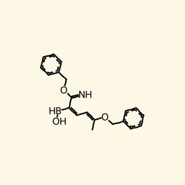 C/C(=C\C=C(\BO)C(=N)OCc1ccccc1)OCc1ccccc1